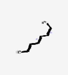 CCC/C=C\C=C\C=CO